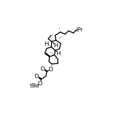 CC(C)CCC[C@@H](C)[C@H]1CC[C@H]2[C@@H]3CC=C4C[C@@H](OC(=O)CC(=O)OC(C)(C)C)CC[C@]4(C)[C@H]3CC[C@]12C